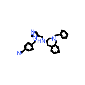 N#Cc1ccc(Cn2cncc2CN[C@H]2Cc3ccccc3CN(Cc3ccccc3)C2)cc1